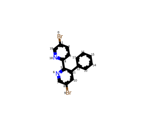 Brc1ccc(-c2ncc(Br)cc2-c2ccccc2)nc1